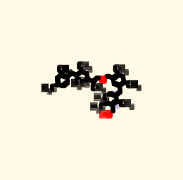 C/C=C(CC1=CC(COCC(C)C(C)CC(C)C(C)Cc2ccc(C)cc2C)=C(C)CC1C)\C(C)=C(/CC)CO